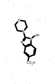 CCCn1c(N2CCOCC2)nc2cc(C(=O)O)ccc21